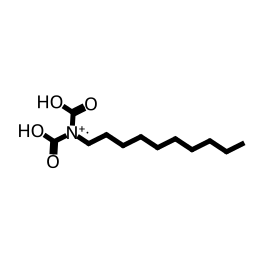 CCCCCCCCCC[N+](C(=O)O)C(=O)O